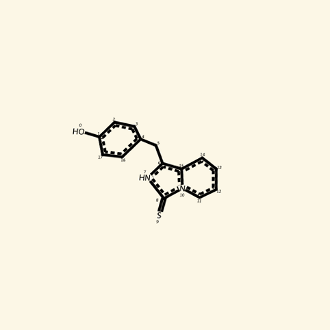 Oc1ccc(Cc2[nH]c(=S)n3ccccc23)cc1